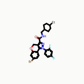 CCC1CCC(CNC(=O)c2nn(-c3ccc(F)cc3F)c3c2COc2cc(Br)ccc2-3)CC1